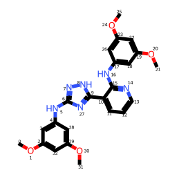 COc1cc(Nc2n[nH]c(-c3cccnc3Nc3cc(OC)cc(OC)c3)n2)cc(OC)c1